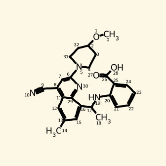 COC1CCN(c2cc(C#N)c3cc(C)cc(C(C)Nc4ccccc4C(=O)O)c3n2)CC1